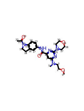 COCCN(C)c1cc(C(=O)Nc2ccc3c(c2)CCN3C(C)=O)nc(N2CCOCC2)n1